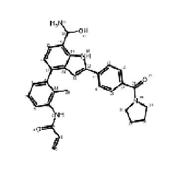 C=CC(=O)Nc1cccc(-c2ccc(C(N)O)c3[nH]c(-c4ccc(C(=O)N5CCCC5)cc4)cc23)c1C